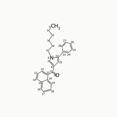 CCCCCCn1cc(C(=O)c2cccc3ccccc23)cc1-c1ccccc1